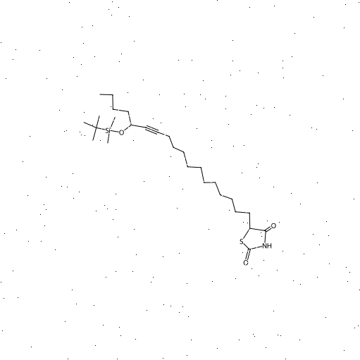 CCCCC(C#CCCCCCCCCCCCC1SC(=O)NC1=O)O[Si](C)(C)C(C)(C)C